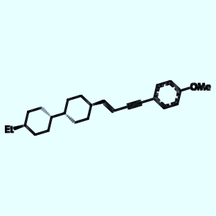 CC[C@H]1CC[C@H]([C@H]2CC[C@H](C=CC#Cc3ccc(OC)cc3)CC2)CC1